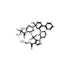 CCOC(=O)c1cnn(C2CCCN(C3=C(c4ccccc4)C=CC(Cl)(N4CCN(C(=O)C(C)(C)F)CC4)C3)C2)c1C(F)(F)F